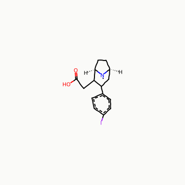 CN1[C@H]2CC[C@@H]1C(CC(=O)O)C(c1ccc(I)cc1)C2